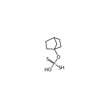 OP(=S)(S)OC12CCC(CC1)C2